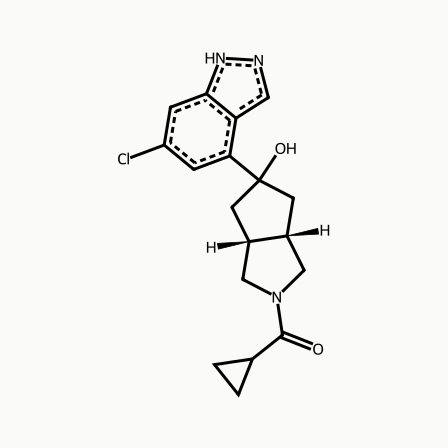 O=C(C1CC1)N1C[C@@H]2CC(O)(c3cc(Cl)cc4[nH]ncc34)C[C@@H]2C1